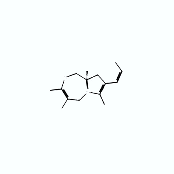 C/C=C\C1=C(C)N2CC(C)=C(C)NC[C@@H]2C1